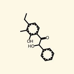 CCc1ccc(C(=O)C(O)c2ccccc2)c(O)c1C